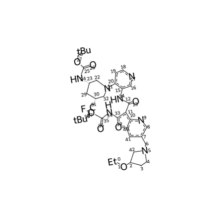 CCOC1CCN(Cc2cnc3c(C(=O)Nc4cnccc4N4C[C@@H](NC(=O)OC(C)(C)C)C[C@@H](C(F)(F)F)C4)c(NC(=O)OC(C)(C)C)oc3c2)C1